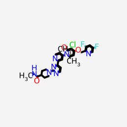 CNC(=O)C1CCN(c2nccc(-c3cc(-n4c(C)cc(OCc5ncc(F)cc5F)c(Cl)c4=O)c(C)cn3)n2)CC1